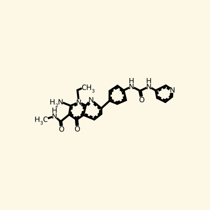 CCn1c(N)c(C(=O)NC)c(=O)c2ccc(-c3ccc(NC(=O)Nc4cccnc4)cc3)nc21